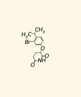 CC(C)c1ccc(OC2CCC(=O)NC2=O)cc1Br